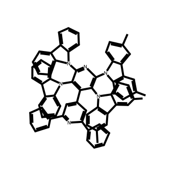 Cc1ccc2c(c1)c1cc(C)ccc1n2-c1nc(-n2c3ccccc3c3ccccc32)c(-n2c3ccccc3c3ccccc32)c(-c2cc(-c3ccccc3)nc(-c3ccccc3)c2)c1-n1c2ccc(C)cc2c2cc(C)ccc21